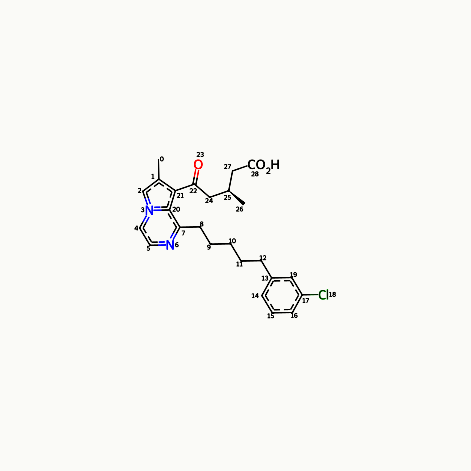 Cc1cn2ccnc(CCCCCc3cccc(Cl)c3)c2c1C(=O)C[C@H](C)CC(=O)O